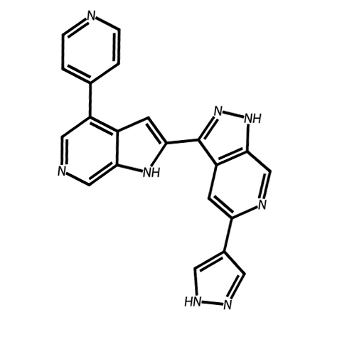 c1cc(-c2cncc3[nH]c(-c4n[nH]c5cnc(-c6cn[nH]c6)cc45)cc23)ccn1